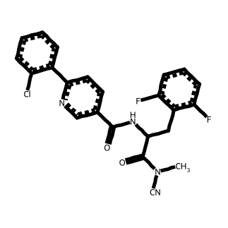 CN(C#N)C(=O)C(Cc1c(F)cccc1F)NC(=O)c1ccc(-c2ccccc2Cl)nc1